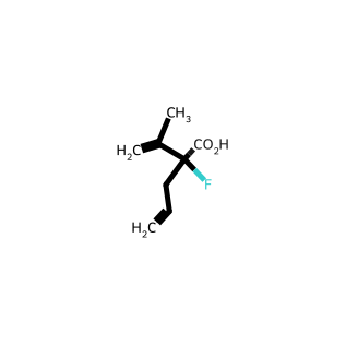 C=CCC(F)(C(=C)C)C(=O)O